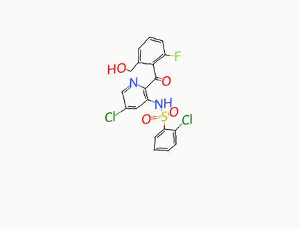 O=C(c1ncc(Cl)cc1NS(=O)(=O)c1ccccc1Cl)c1c(F)cccc1CO